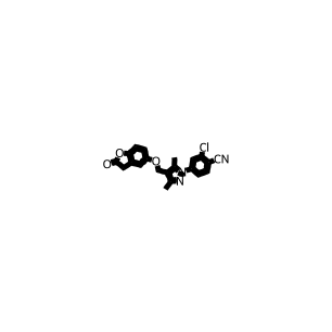 Cc1nn(-c2ccc(C#N)c(Cl)c2)c(C)c1COc1ccc2c(c1)CC(=O)O2